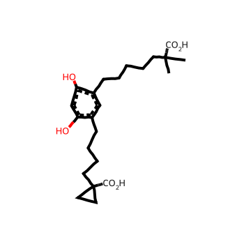 CC(C)(CCCCCc1cc(CCCCC2(C(=O)O)CC2)c(O)cc1O)C(=O)O